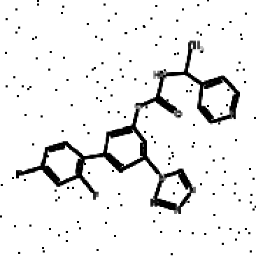 CC(NC(=O)Oc1cc(-c2ccc(F)cc2F)cc(-n2cnnn2)c1)c1ccncc1